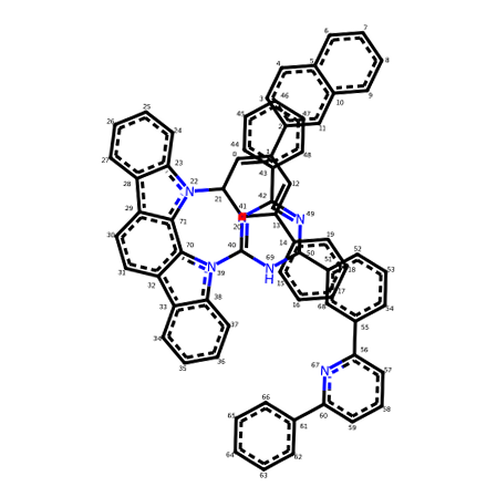 C1=C(c2ccc3ccccc3c2)C=C(c2ccccc2)CC1n1c2ccccc2c2ccc3c4ccccc4n(C4=NC(c5ccccc5)=NC(c5cccc(-c6cccc(-c7ccccc7)n6)c5)N4)c3c21